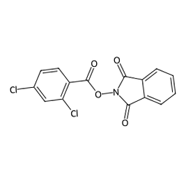 O=C(ON1C(=O)c2ccccc2C1=O)c1ccc(Cl)cc1Cl